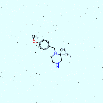 COc1ccc(CN2CCNCC2(C)C)cc1